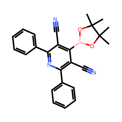 CC1(C)OB(c2c(C#N)c(-c3ccccc3)nc(-c3ccccc3)c2C#N)OC1(C)C